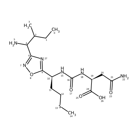 CCC(C)C(N)c1noc([C@H](CCSC)NC(=O)N[C@@H](CC(N)=O)C(=O)O)n1